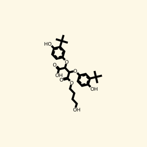 CC(C)(C)c1cc(OC(C(=O)O)C(Oc2ccc(O)c(C(C)(C)C)c2)C(=O)OCCCCO)ccc1O